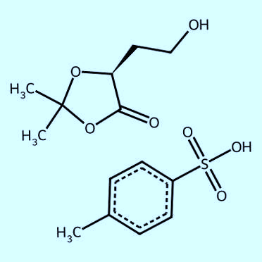 CC1(C)OC(=O)[C@H](CCO)O1.Cc1ccc(S(=O)(=O)O)cc1